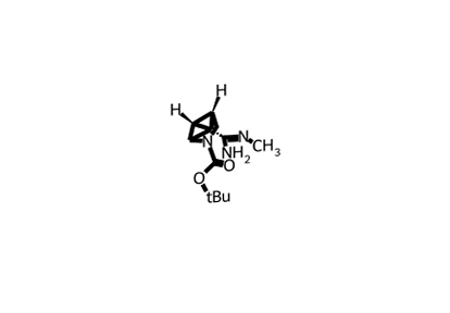 C/N=C(\N)[C@]12C3[C@@H]1[C@@H]2CN3C(=O)OC(C)(C)C